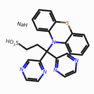 O=S(=O)(O)CCC(c1cnccn1)(c1cnccn1)N1c2ccccc2Sc2ccccc21.[NaH]